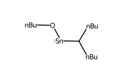 CCCC[O][Sn][CH](CCCC)CCCC